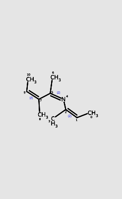 C\C=C(C)/N=C(C)\C(C)=C/C